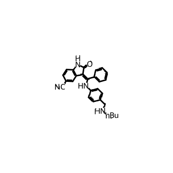 CCCCNCc1ccc(NC(=C2C(=O)Nc3ccc(C#N)cc32)c2ccccc2)cc1